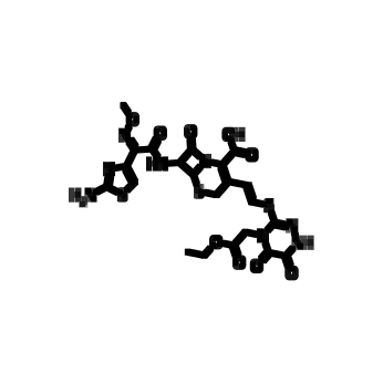 CCOC(=O)Cn1c(S/C=C/C2=C(C(=O)O)N3C(=O)C(NC(=O)/C(=N\OC)c4csc(N)n4)C3SC2)n[nH]c(=O)c1=O